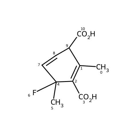 CC1=C(C(=O)O)C(C)(F)C=CC1C(=O)O